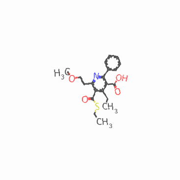 CCSC(=O)c1c(CCOC)nc(-c2ccccc2)c(C(=O)O)c1CC